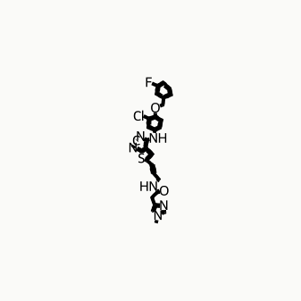 Cn1cnc(CC(=O)NCC#Cc2cc3c(Nc4ccc(OCc5cccc(F)c5)c(Cl)c4)ncnc3s2)c1